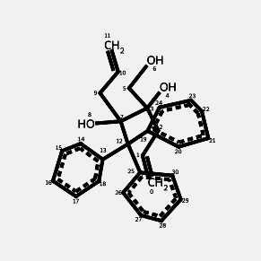 C=CCC(O)(CO)C(O)(CC=C)C(c1ccccc1)(c1ccccc1)c1ccccc1